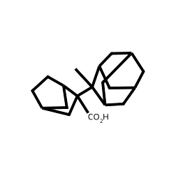 CC1(C2(C(=O)O)CC3CCC2C3)C2CC3CC(C2)CC1C3